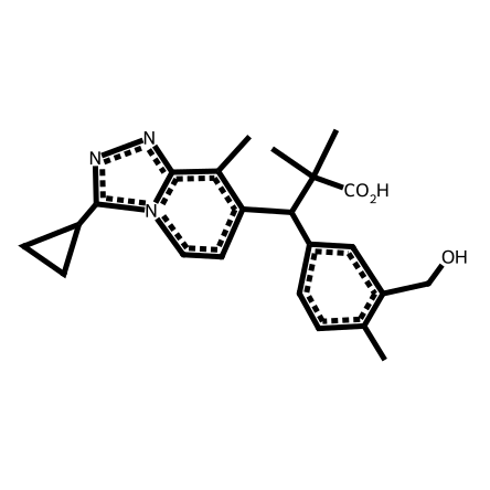 Cc1ccc(C(c2ccn3c(C4CC4)nnc3c2C)C(C)(C)C(=O)O)cc1CO